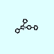 c1ccc(-c2ccc(-n3nc(-c4ccccc4)cc3-c3ccccc3)cc2)cc1